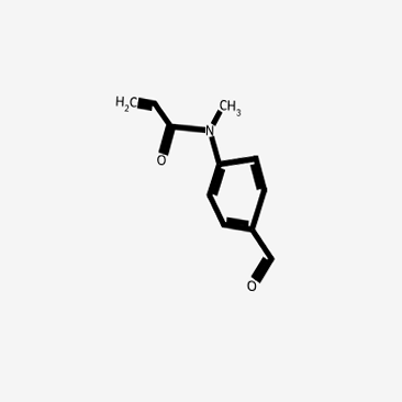 C=CC(=O)N(C)c1ccc(C=O)cc1